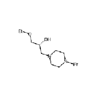 CCOC[C@H](O)CN1CCN(C(C)C)CC1